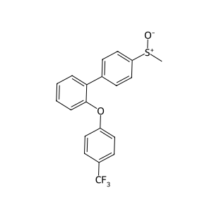 C[S+]([O-])c1ccc(-c2ccccc2Oc2ccc(C(F)(F)F)cc2)cc1